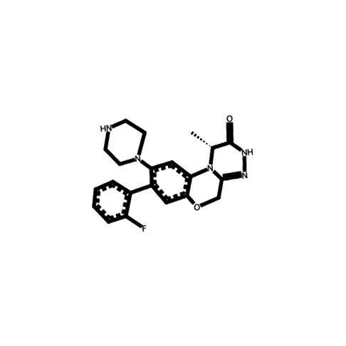 C[C@@H]1C(=O)NN=C2COc3cc(-c4ccccc4F)c(N4CCNCC4)cc3N21